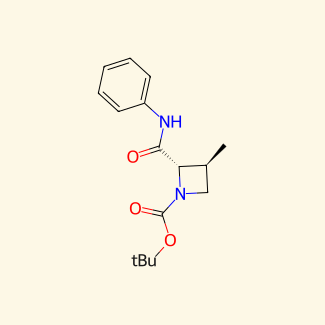 C[C@H]1CN(C(=O)OC(C)(C)C)[C@@H]1C(=O)Nc1ccccc1